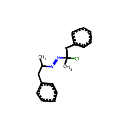 CC(Cc1ccccc1)N=NC(C)(Cl)Cc1ccccc1